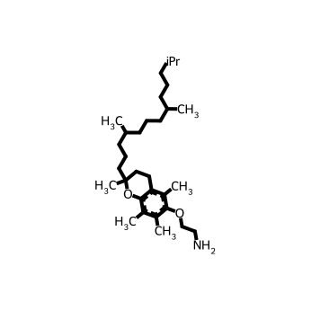 Cc1c(C)c2c(c(C)c1OCCN)CCC(C)(CCCC(C)CCCC(C)CCCC(C)C)O2